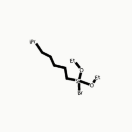 CCO[Si](Br)(CCCCCC(C)C)OCC